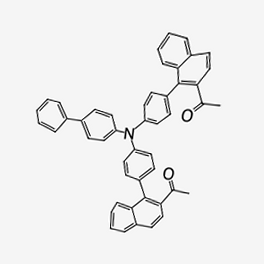 CC(=O)c1ccc2ccccc2c1-c1ccc(N(c2ccc(-c3ccccc3)cc2)c2ccc(-c3c(C(C)=O)ccc4ccccc34)cc2)cc1